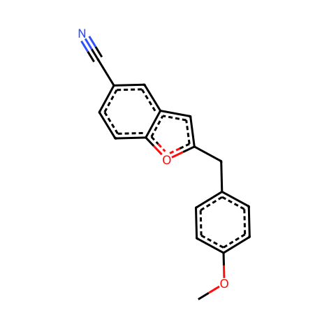 COc1ccc(Cc2cc3cc(C#N)ccc3o2)cc1